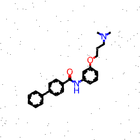 CN(C)CCCOc1cccc(NC(=O)c2ccc(-c3ccccc3)cc2)c1